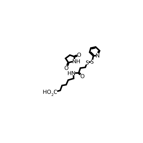 O=C(O)CCCCCNC(=O)CCSSc1ccccn1.O=C1CCC(=O)N1